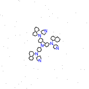 c1ccc2c(N(c3ccncc3)c3ccc(-n4c5ccc(N(c6ccncc6)c6cccc7ccccc67)cc5c5cc(N(c6ccncc6)c6cccc7ccccc67)ccc54)cc3)cccc2c1